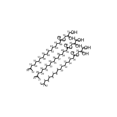 CC(C)CCCCCCCCCCCCCCC(=O)OCC(O)CO.CC(C)CCCCCCCCCCCCCCC(=O)OCC(O)CO.CC(C)CCCCCCCCCCCCCCC(=O)OCC(O)CO